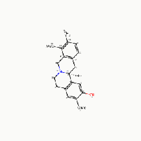 COc1cc2c(cc1O)[C@@H]1Cc3ccc(C)c(OC)c3CN1CC2